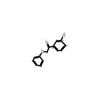 O=C(COc1ccccc1)c1cccc(Cl)c1